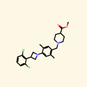 COC(=O)C1CCN(Cc2cc(C)c(N3CC(c4c(Cl)cccc4Cl)C3)cc2C)CC1